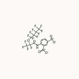 O=C(Nc1ccc([N+](=O)[O-])cc1[N+](=O)[O-])C(F)(OC(F)(F)C(F)(F)C(F)(F)C(F)(F)F)C(F)(F)F